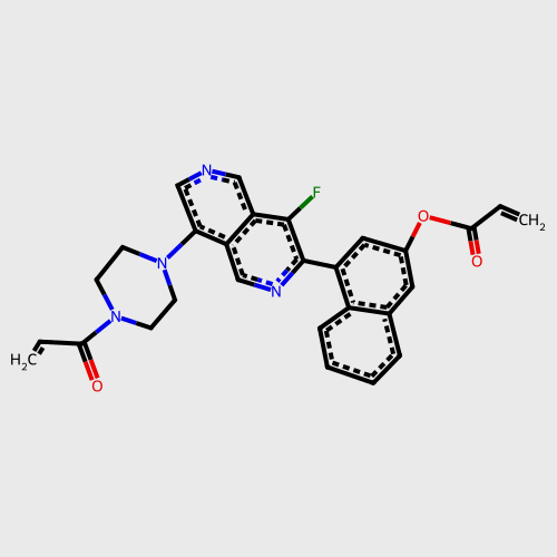 C=CC(=O)Oc1cc(-c2ncc3c(N4CCN(C(=O)C=C)CC4)cncc3c2F)c2ccccc2c1